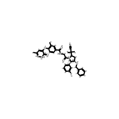 Cc1cc(Oc2ccc(C(=O)NCC(=O)N3C(C(C)(C)C#N)C[C@@H](OCc4ccccc4)[C@H]3c3cccc(F)c3)cc2C)c(=O)[nH]n1